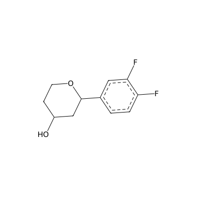 OC1CCOC(c2ccc(F)c(F)c2)C1